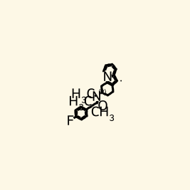 CN(C(=O)C(C)(C)c1ccc(F)cc1)[C@@H]1CCc2[c]c3ccccn3c2C1